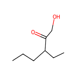 CCCC(CC)C(=O)CO